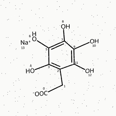 O=C([O-])Cc1c(O)c(O)c(O)c(O)c1O.[Na+]